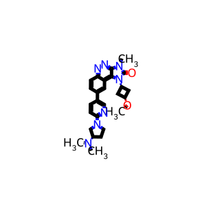 CO[C@H]1C[C@@H](n2c(=O)n(C)c3nnc4ccc(-c5ccc(N6CC[C@@H](N(C)C)C6)nc5)cc4c32)C1